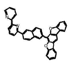 c1ccc(-c2cccc(-c3ccc4cc(-c5c6oc7ccccc7c6cc6c5oc5ccccc56)ccc4c3)n2)nc1